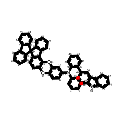 c1ccc(N(c2ccc3c(c2)Oc2c(ccc4c2-c2ccccc2C42c4ccccc4-c4ccccc42)O3)c2ccccc2-c2ccc3sc4ccccc4c3c2)cc1